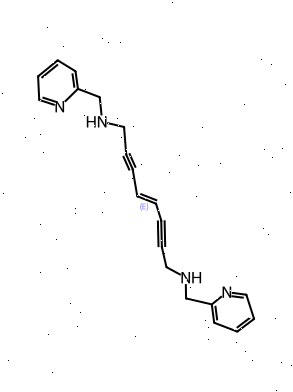 C(#CCNCc1ccccn1)/C=C/C#CCNCc1ccccn1